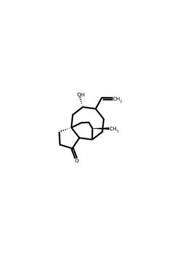 C=CC1CCC2C3C(=O)CC[C@@]3(CC[C@H]2C)C[C@@H]1O